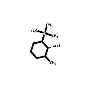 CC1CCCC([N+](C)(C)C)[C@@H]1O